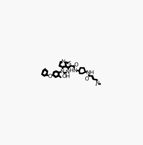 Cc1cc(Oc2ccccc2)ccc1N1C(=O)Nc2c(C(=O)NC3CCC(NC(=O)/C=C/CN(C)C)CC3)sc3nccc1c23